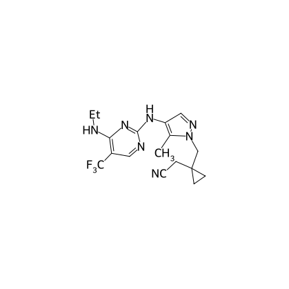 CCNc1nc(Nc2cnn(CC3(CC#N)CC3)c2C)ncc1C(F)(F)F